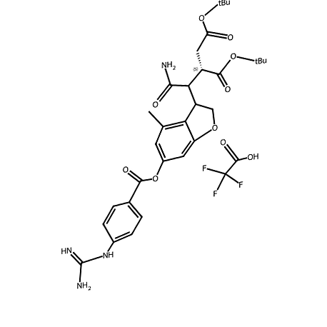 Cc1cc(OC(=O)c2ccc(NC(=N)N)cc2)cc2c1C(C(C(N)=O)[C@H](CC(=O)OC(C)(C)C)C(=O)OC(C)(C)C)CO2.O=C(O)C(F)(F)F